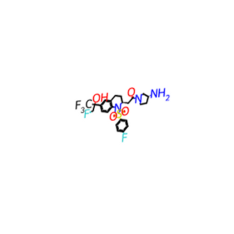 N[C@@H]1CCN(C(=O)C[C@@H]2CCc3cc(C(O)(CF)C(F)(F)F)ccc3N2S(=O)(=O)c2ccc(F)cc2)C1